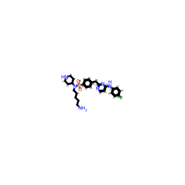 NCCCCCN(C1CCNCC1)S(=O)(=O)c1ccc(Cc2nccc(Nc3ccc(F)cc3)n2)cc1